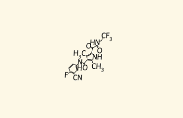 Cc1[nH]c(C(=O)C(=O)NCC(F)(F)F)c(C)c1C(=O)Nc1ccc(F)c(C#N)c1